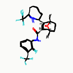 O=C(Nc1cccc(C(F)(F)F)c1F)[C@@H]1[C@H](C2CCCC(C(F)(F)F)N2)[C@@H]2CC[C@H]1O2